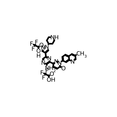 Cc1cnc2cc(-n3nc(-c4nc(-c5cnn(C6CCNCC6)c5)cnc4N)ccc3=O)ccc2c1.O=C(O)C(F)(F)F.O=C(O)C(F)(F)F